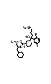 CNCC(CC1CCCCC1)NC(=O)N1CCC[C@@H]([C@@](O)(CCCNC(C)=O)c2cc(C)ccc2F)C1